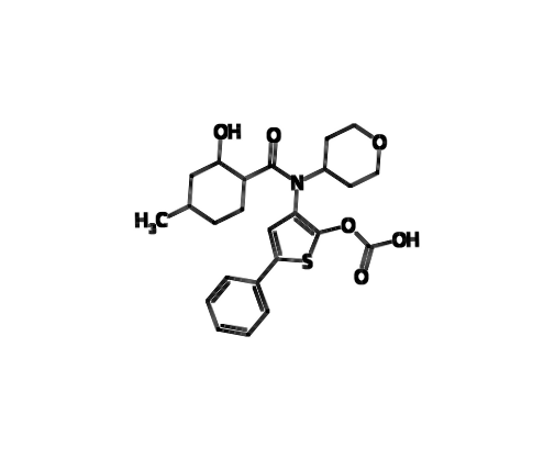 CC1CCC(C(=O)N(c2cc(-c3ccccc3)sc2OC(=O)O)C2CCOCC2)C(O)C1